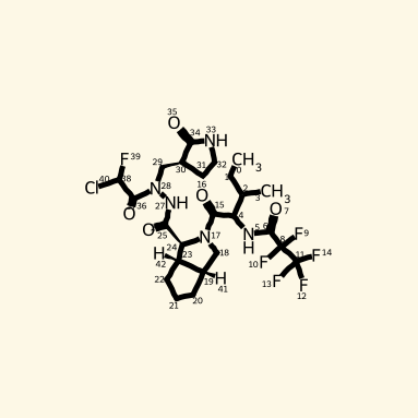 CCC(C)C(NC(=O)C(F)(F)C(F)(F)F)C(=O)N1C[C@@H]2CCC[C@@H]2[C@H]1C(=O)NN(C[C@@H]1CCNC1=O)C(=O)C(F)Cl